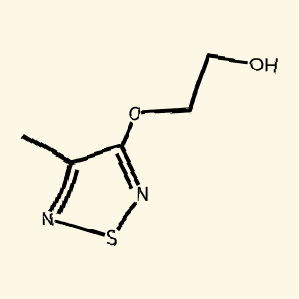 Cc1nsnc1OCCO